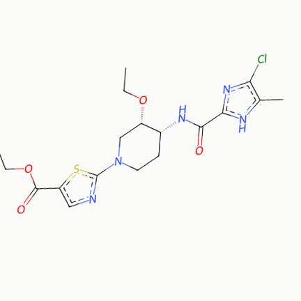 CCOC(=O)c1cnc(N2CC[C@@H](NC(=O)c3nc(Cl)c(C)[nH]3)[C@@H](OCC)C2)s1